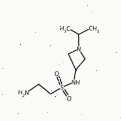 CC(C)N1CC(NS(=O)(=O)CCN)C1